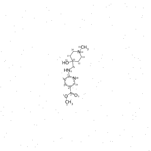 COC(=O)c1ccc(NCC2(O)CCN(C)CC2)nc1